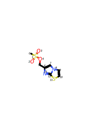 CS(=O)(=O)OCc1cn2ccsc2n1